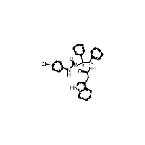 O=C(Cc1c[nH]c2ccccc12)N[C@@H](c1ccccc1)[C@@H](NC(=O)Nc1ccc(Cl)cc1)c1ccccc1